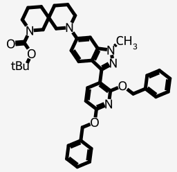 Cn1nc(-c2ccc(OCc3ccccc3)nc2OCc2ccccc2)c2ccc(N3CCCC4(CCCN(C(=O)OC(C)(C)C)C4)C3)cc21